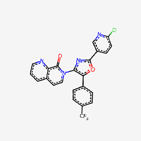 O=c1c2ncccc2ccn1-c1nc(-c2ccc(Cl)nc2)oc1-c1ccc(C(F)(F)F)cc1